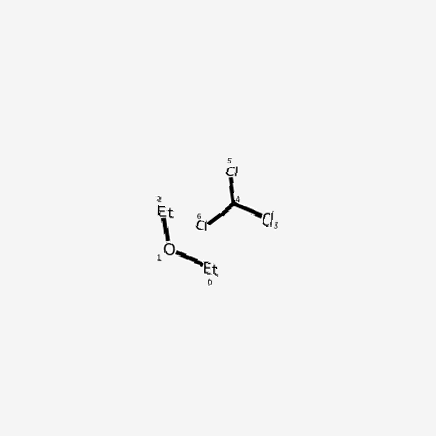 CCOCC.ClC(Cl)Cl